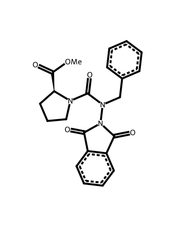 COC(=O)[C@@H]1CCCN1C(=O)N(Cc1ccccc1)N1C(=O)c2ccccc2C1=O